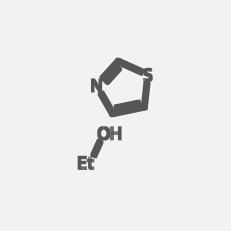 CCO.c1cscn1